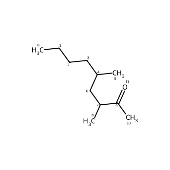 CCCCC(C)CC(C)C(C)=O